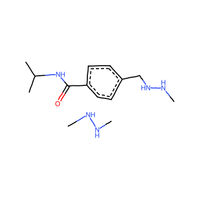 CNNC.CNNCc1ccc(C(=O)NC(C)C)cc1